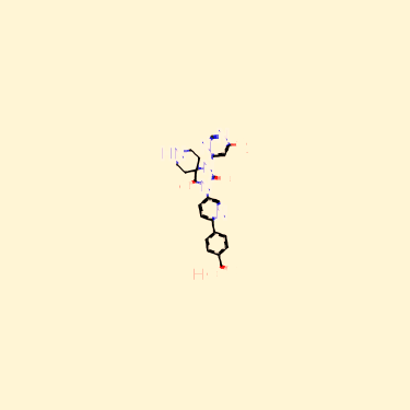 COc1cc(N2C(=O)N(c3ccc(-c4ccc(C(=O)O)cc4)nc3)C(=O)C23CCNCC3)ncn1